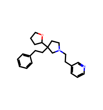 c1ccc(CCC2(C3CCCO3)CCN(CCc3cccnc3)C2)cc1